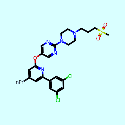 CCCc1cc(Oc2cnc(N3CCN(CCCS(C)(=O)=O)CC3)nc2)nc(-c2cc(Cl)cc(Cl)c2)c1